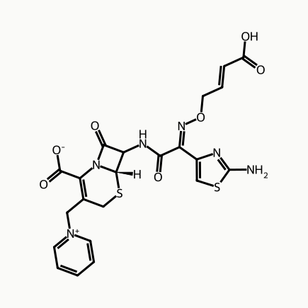 Nc1nc(C(=NOCC=CC(=O)O)C(=O)NC2C(=O)N3C(C(=O)[O-])=C(C[n+]4ccccc4)CS[C@@H]23)cs1